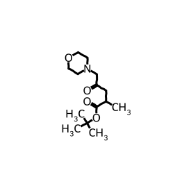 CC(CC(=O)CN1CCOCC1)C(=O)OC(C)(C)C